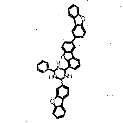 c1ccc(C2NC(c3ccc4c(c3)oc3ccccc34)NC(c3cccc4c3oc3ccc(-c5ccc6oc7ccccc7c6c5)cc34)N2)cc1